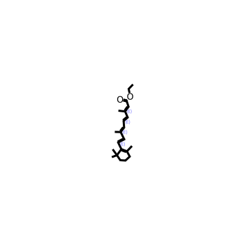 CCOC(=O)/C=C(C)/C=C/C=C(C)/C=C/C1=C(C)CCCC1(C)C